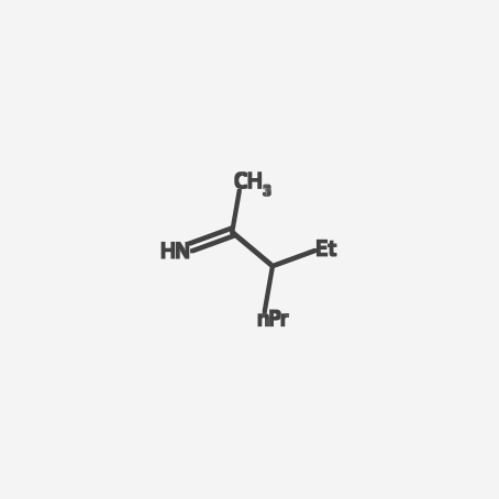 [CH2]CCC(CC)C(C)=N